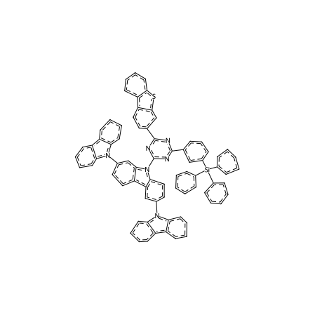 c1ccc([Si](c2ccccc2)(c2ccccc2)c2cccc(-c3nc(-c4ccc5c(c4)sc4ccccc45)nc(-n4c5ccc(-n6c7ccccc7c7ccccc76)cc5c5ccc(-n6c7ccccc7c7ccccc76)cc54)n3)c2)cc1